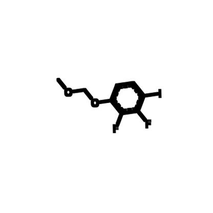 COCOc1ccc(I)c(F)c1F